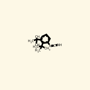 CC(C)(C)c1cccc(N=C=N)c1C(C)(C)C